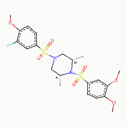 COc1ccc(S(=O)(=O)N2C[C@@H](C)N(S(=O)(=O)c3ccc(OC)c(OC)c3)[C@@H](C)C2)cc1F